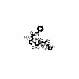 CC[C@H](C)C(C(CC(=O)N1CCCC1C(OC)[C@@H](C)C(=O)NCCC1C=CC=CC=C1)OC)N(C)C(=O)C(NC(=O)[C@]1(C)CCCN1)C(C)C